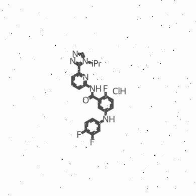 CC(C)n1cnnc1-c1cccc(NC(=O)c2cc(Nc3ccc(F)c(F)c3)ccc2F)n1.Cl